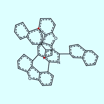 c1ccc2cc(-c3nc(-c4ccc5ccccc5c4)nc(-c4cccc5oc6cccc(-c7ccc8oc9ccccc9c8c7)c6c45)n3)ccc2c1